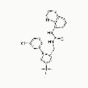 CC(C)(C)c1cc(CNC(=O)Nc2cccc3cccnc23)n(-c2cccc(Cl)c2)n1